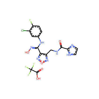 O=C(NCc1nonc1C(=NO)Nc1ccc(F)c(Cl)c1)c1ncc[nH]1.O=C(O)C(F)(F)F